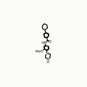 COc1cc(NC(=O)c2ccc(C3CCCCC3)cc2)ccc1N1CCNCC1